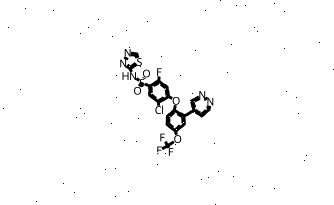 O=S(=O)(Nc1nncs1)c1cc(Cl)c(Oc2ccc(OC(F)(F)F)cc2-c2ccnnc2)cc1F